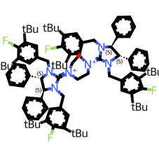 CC(C)(C)c1cc(CN2C(=[N+]3CC[N+](=C4N(Cc5cc(C(C)(C)C)c(F)c(C(C)(C)C)c5)[C@@H](c5ccccc5)[C@H](c5ccccc5)N4Cc4cc(C(C)(C)C)c(F)c(C(C)(C)C)c4)CC3)N(Cc3cc(C(C)(C)C)c(F)c(C(C)(C)C)c3)[C@@H](c3ccccc3)[C@@H]2c2ccccc2)cc(C(C)(C)C)c1F